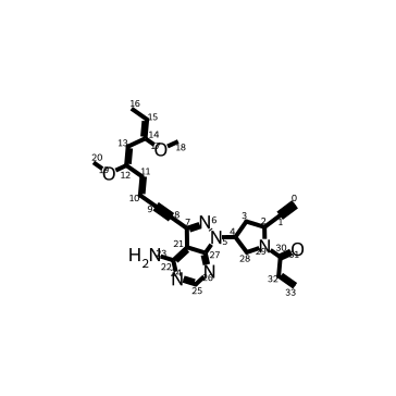 C#CC1CC(n2nc(C#C/C=C/C(=C\C(=C/C)OC)OC)c3c(N)ncnc32)CN1C(=O)C=C